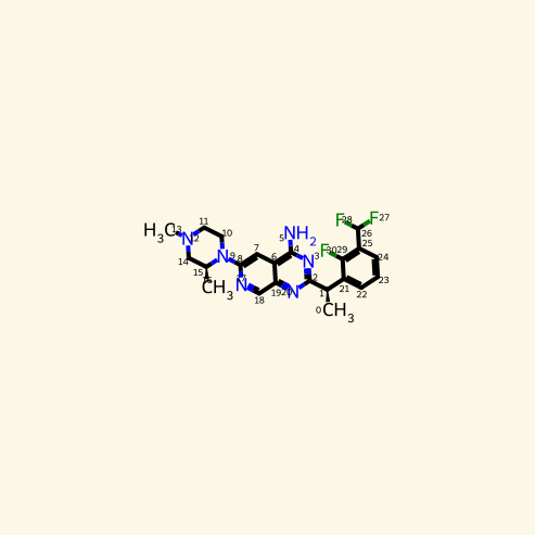 C[C@@H](c1nc(N)c2cc(N3CCN(C)C[C@@H]3C)ncc2n1)c1cccc(C(F)F)c1F